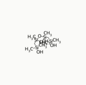 C[Si](C)(O)C[Si](C)(C)O[Si](C)(C)C[Si](C)(C)O